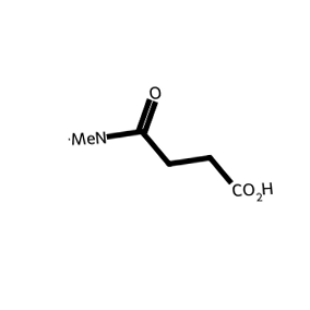 C[N]C(=O)CCC(=O)O